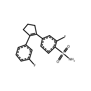 NS(=O)(=O)c1ccc(C2=C(c3cccc(F)c3)CCC2)cc1F